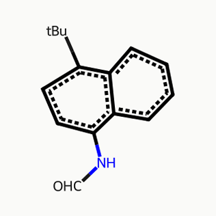 CC(C)(C)c1ccc(NC=O)c2ccccc12